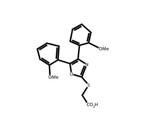 COc1ccccc1-c1nc(SCC(=O)O)oc1-c1ccccc1OC